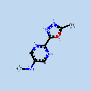 CNc1cnc(-c2nnc(C)o2)nc1